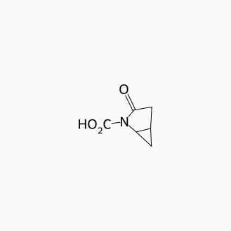 O=C(O)N1C(=O)CC2CC21